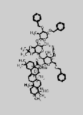 COC1C[C@]2(C)C(=CCC3C4(C)CC[C@H](C)[C@](C)(C=O)[C@@H]4CC[C@@]32C)C2CC(C)(C)CC[C@]12C(=O)O[C@@H]1OC(COCc2ccccc2)[C@H](N=[N+]=[N-])C(C)C1O[C@@H]1OC(C)[C@H](O[C@@H]2OC[C@@H](OCc3ccccc3)C(OCc3ccccc3)C2C)C2OC(C)(C)OC21